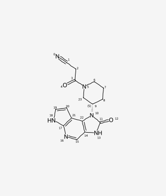 N#CCC(=O)N1CCC[C@H](n2c(=O)[nH]c3cnc4[nH]ccc4c32)C1